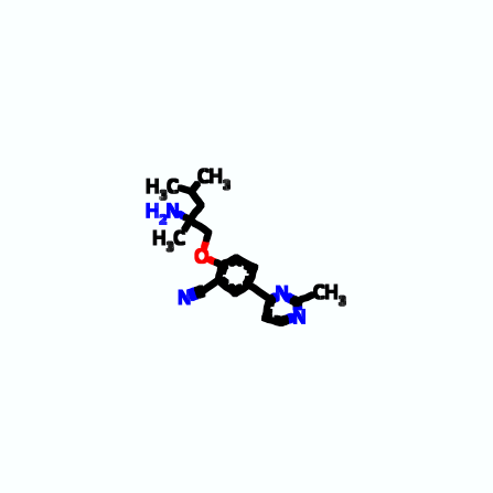 Cc1nccc(-c2ccc(OCC(C)(N)CC(C)C)c(C#N)c2)n1